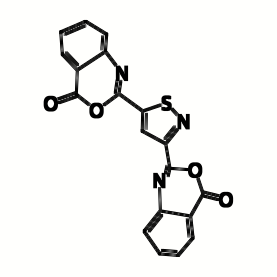 O=c1oc(-c2cc(-c3nc4ccccc4c(=O)o3)sn2)nc2ccccc12